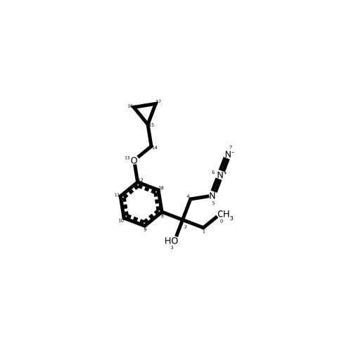 CCC(O)(CN=[N+]=[N-])c1cccc(OCC2CC2)c1